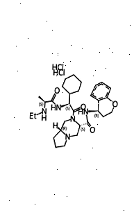 CCN[C@@H](C)C(=O)N[C@H](C(=O)N1C[C@H]2CCCN2C[C@H]1C(=O)N[C@@H]1CCOc2ccccc21)C1CCCCC1.Cl.Cl